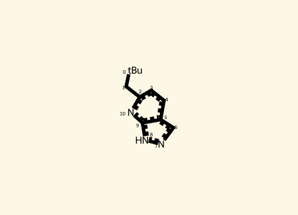 CC(C)(C)Cc1ccc2cn[nH]c2n1